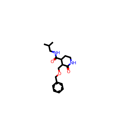 CC(C)CNC(=O)C1CCNC(=O)C1COCc1ccccc1